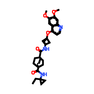 CCC1(NC(=O)C23CCC(C(=O)NC45CC(Oc6ccnc7cc(OC)c(OC)cc67)(C4)C5)(CC2)CC3)CC1